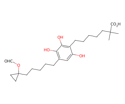 CC(C)(CCCCCc1c(O)cc(CCCCCC2(OC=O)CC2)c(O)c1O)C(=O)O